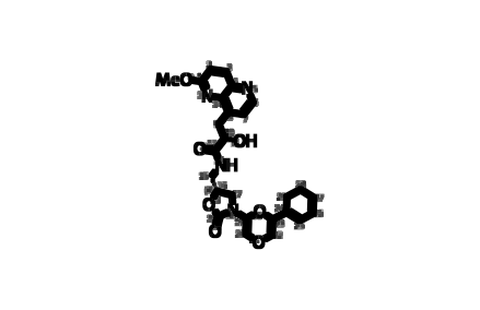 COc1ccc2nccc(C[C@@H](O)C(=O)NC[C@@H]3CN(C4=COC=C(C5=CC=CCC5)O4)C(=O)O3)c2n1